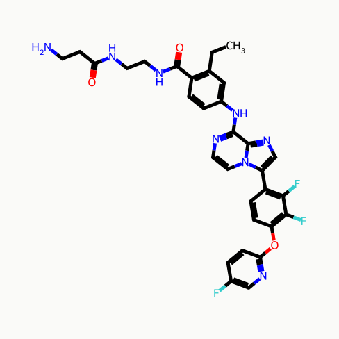 CCc1cc(Nc2nccn3c(-c4ccc(Oc5ccc(F)cn5)c(F)c4F)cnc23)ccc1C(=O)NCCNC(=O)CCN